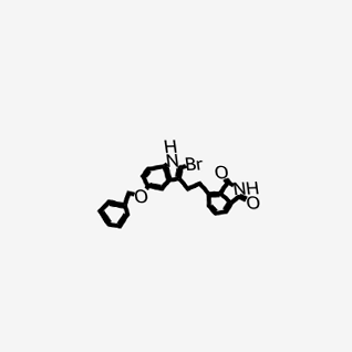 O=C1NC(=O)c2c(CCc3c(Br)[nH]c4ccc(OCc5ccccc5)cc34)cccc21